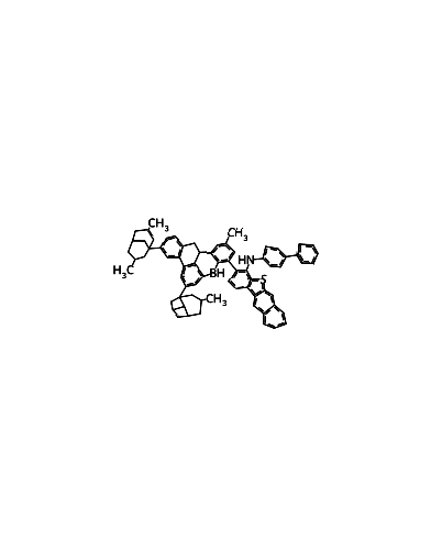 Cc1cc(-c2ccc3c(sc4cc5ccccc5cc43)c2Nc2ccc(-c3ccccc3)cc2)c2c(c1)C1Cc3ccc(C45CC(C)CC(CC(C)C4)C5)cc3-c3cc(C45CC(C)CC6CC(C4)C65)cc(c31)B2